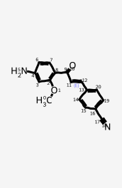 COc1cc(N)ccc1C(=O)/C=C/c1ccc(C#N)cc1